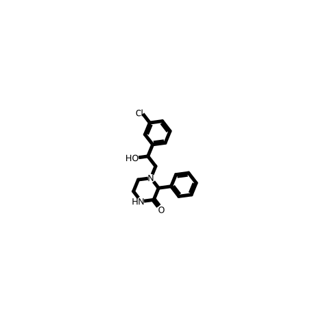 O=C1NCCN(CC(O)c2cccc(Cl)c2)C1c1ccccc1